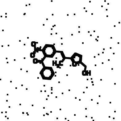 C/C(=C\c1ccc([N+](=O)[O-])c(C(=O)c2ccccc2)c1)c1ccc(CO)o1